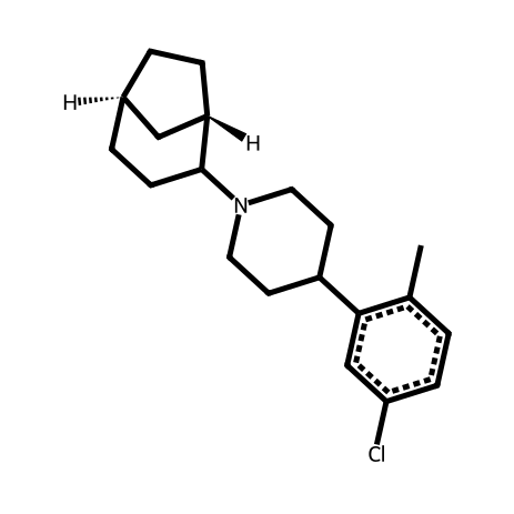 Cc1ccc(Cl)cc1C1CCN(C2CC[C@H]3CC[C@H]2C3)CC1